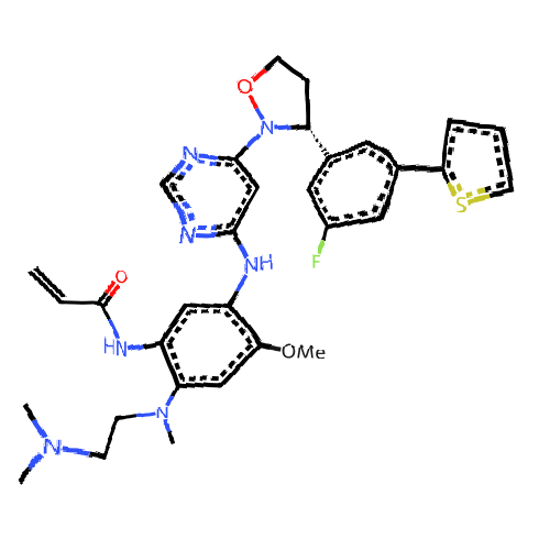 C=CC(=O)Nc1cc(Nc2cc(N3OCC[C@@H]3c3cc(F)cc(-c4cccs4)c3)ncn2)c(OC)cc1N(C)CCN(C)C